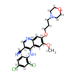 COc1cc2c(Nc3ccc(Cl)cc3Cl)c(C#N)cnc2cc1OCCCN1CCOCC1